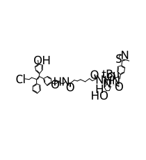 Cc1ncsc1-c1ccc(CNC(=O)[C@@H]2C[C@@H](O)CN2C(=O)C(NC(=O)CCCCCCC(=O)NCCOc2ccc(C(=C(CCCl)c3ccccc3)c3ccc(O)cc3)cc2)C(C)(C)C)cc1